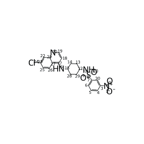 O=[N+]([O-])c1cccc(S(=O)(=O)N[C@H]2CC[C@@H](Nc3ccnc4cc(Cl)ccc34)CC2)c1